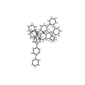 c1ccc(-c2ccc(-c3ccc(N(c4ccccc4)c4ccc5c(c4)C4(c6ccccc6-c6ccccc6-5)c5ccccc5-c5cc6sc7ccccc7c6cc54)cc3)cc2)cc1